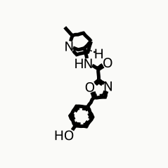 CC1CC2CCN1C[C@@H]2NC(=O)c1ncc(-c2ccc(O)cc2)o1